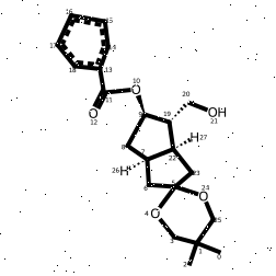 CC1(C)COC2(C[C@H]3C[C@@H](OC(=O)c4ccccc4)[C@H](CO)[C@H]3C2)OC1